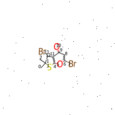 CC1(C)Sc2oc(Br)cc(=O)c2C1Br